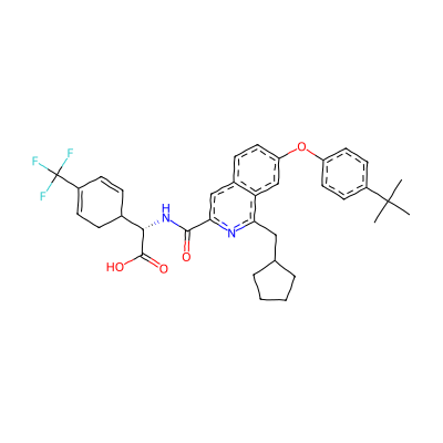 CC(C)(C)c1ccc(Oc2ccc3cc(C(=O)N[C@H](C(=O)O)C4C=CC(C(F)(F)F)=CC4)nc(CC4CCCC4)c3c2)cc1